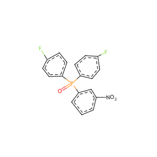 O=[N+]([O-])c1cccc(P(=O)(c2ccc(F)cc2)c2ccc(F)cc2)c1